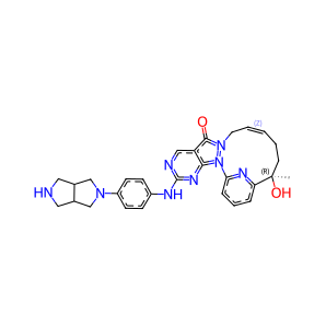 C[C@@]1(O)CC/C=C\Cn2c(=O)c3cnc(Nc4ccc(N5CC6CNCC6C5)cc4)nc3n2-c2cccc1n2